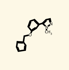 Cn1nccc1-c1cccc(OCc2ccccc2)c1